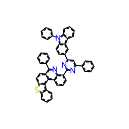 c1ccc(-c2cc(-c3ccc4c(c3)c3ccccc3n4-c3ccccc3)nc(-c3cccc4c3nc(-c3ccccc3)c3ccc5sc6ccccc6c5c34)n2)cc1